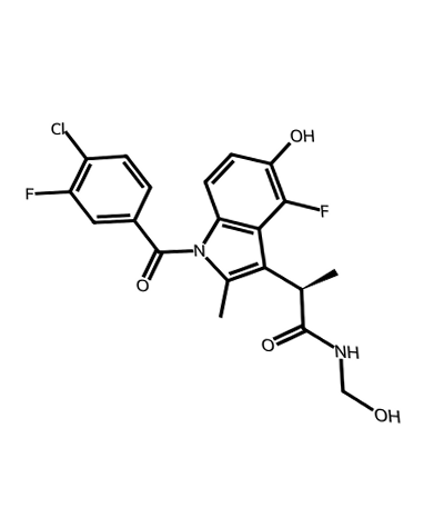 Cc1c([C@@H](C)C(=O)NCO)c2c(F)c(O)ccc2n1C(=O)c1ccc(Cl)c(F)c1